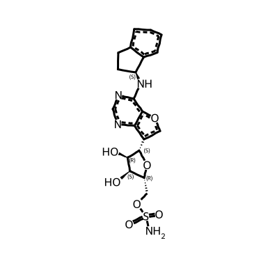 NS(=O)(=O)OC[C@H]1O[C@@H](c2coc3c(N[C@H]4CCc5ccccc54)ncnc23)[C@H](O)[C@@H]1O